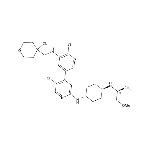 COC[C@H](C)N[C@H]1CC[C@H](Nc2cc(-c3cnc(Cl)c(NCC4(C#N)CCOCC4)c3)c(Cl)cn2)CC1